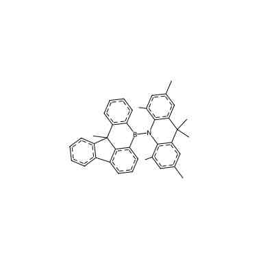 Cc1cc(C)c2c(c1)C(C)(C)c1cc(C)cc(C)c1N2B1c2ccccc2C2(C)c3ccccc3-c3cccc1c32